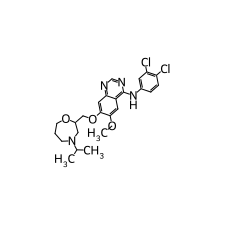 COc1cc2c(Nc3ccc(Cl)c(Cl)c3)ncnc2cc1OCC1CN(C(C)C)CCCO1